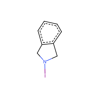 IN1Cc2ccccc2C1